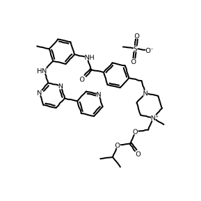 CS(=O)(=O)[O-].Cc1ccc(NC(=O)c2ccc(CN3CC[N+](C)(COC(=O)OC(C)C)CC3)cc2)cc1Nc1nccc(-c2cccnc2)n1